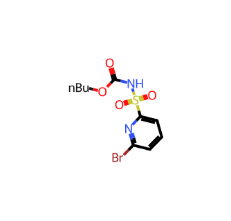 CCCCOC(=O)NS(=O)(=O)c1cccc(Br)n1